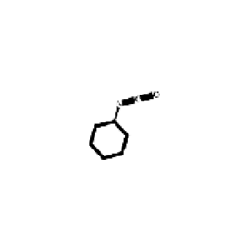 O=C=N[C@H]1[CH]CCCC1